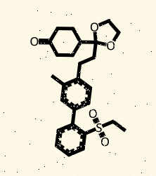 CCS(=O)(=O)c1ccccc1-c1ccc(CCC2(C3CCC(=O)CC3)OCCO2)c(C)c1